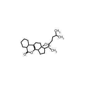 CC(C)CCC[C@@H](C)C1CCC2C3=C(CC[C@@]21C)C1CCCCC1C(=O)O3